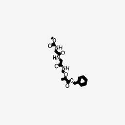 COC(=O)NCC(=O)NCC(=O)NCOC(C)C(=O)OCc1ccccc1